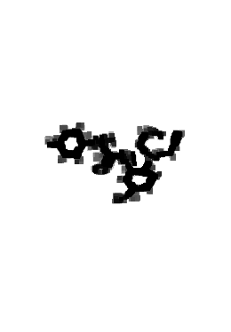 C#CCN(CC(C)C)c1ccc(Br)cc1NC(=O)Nc1ccc(C)cc1